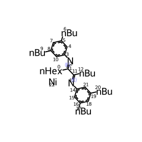 CCCCCCC(=N\c1cc(CCCC)cc(CCCC)c1)/C(CCCC)=N/c1cc(CCCC)cc(CCCC)c1.[Ni]